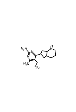 CC(C)(C)Cc1c(N)nc(N)nc1N1CC2CCCNC2C1